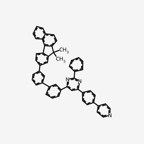 CC1(C)c2cc(-c3cccc(-c4cccc(-c5cc(-c6ccc(-c7ccncc7)cc6)nc(-c6ccccc6)n5)c4)c3)ccc2-c2c1ccc1ccccc21